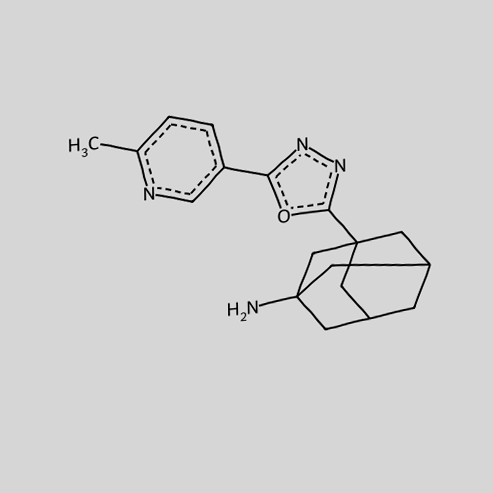 Cc1ccc(-c2nnc(C34CC5CC(CC(N)(C5)C3)C4)o2)cn1